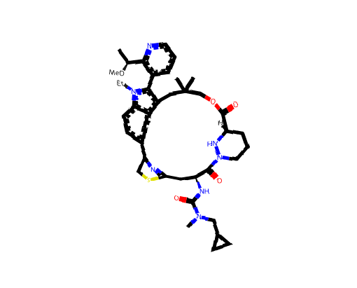 CCn1c(-c2cccnc2[C@H](C)OC)c2c3cc(ccc31)C1CSC(=N1)C[C@H](NC(=O)N(C)CC1CC1)C(=O)N1CCC[C@H](N1)C(=O)OCC(C)(C)C2